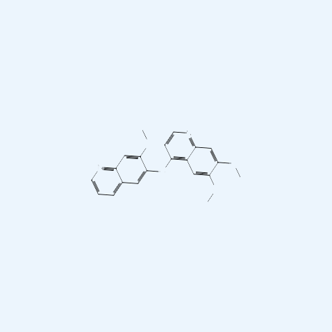 COc1cc2nccc(Oc3cc4cccnc4cc3OC)c2cc1OC